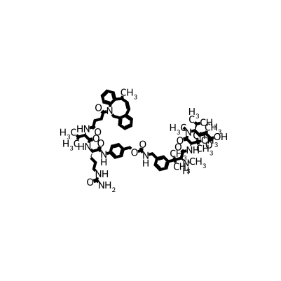 CN[C@H](C(=O)N[C@H](C(=O)N(C)[C@H](/C=C(\C)C(=O)O)C(C)C)C(C)(C)C)C(C)(C)c1cccc(CNC(=O)OCc2ccc(NC(=O)[C@H](CCCNC(N)=O)NC(=O)[C@@H](NC(=O)CCC(=O)N3Cc4ccccc4/C=C\C(C)c4ccccc43)C(C)C)cc2)c1